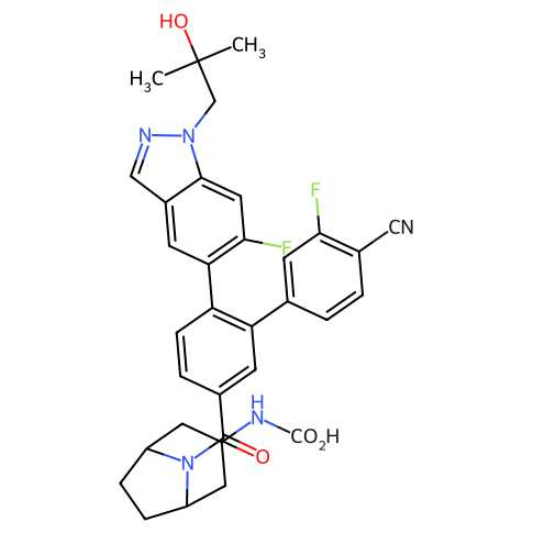 CC(C)(O)Cn1ncc2cc(-c3ccc(C(=O)N4C5CCC4CC(NC(=O)O)C5)cc3-c3ccc(C#N)c(F)c3)c(F)cc21